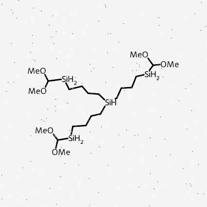 COC(OC)[SiH2]CCCC[SiH](CCCC[SiH2]C(OC)OC)CCCC[SiH2]C(OC)OC